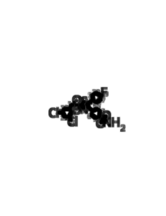 NS(=O)(=O)c1ccc(-c2nc(S(=O)(=O)Cc3cc(Cl)cc(Cl)c3)sc2-c2ccc(F)cc2)cc1